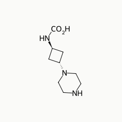 O=C(O)N[C@H]1C[C@H](N2CCNCC2)C1